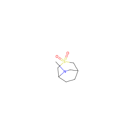 CN1CC2CCC1CS(=O)(=O)C2